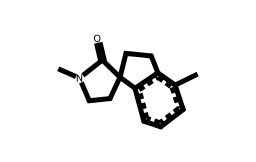 Cc1cccc2c1CCC21CCN(C)C1=O